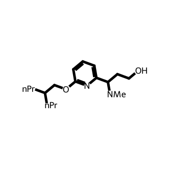 CCCC(CCC)COc1cccc(C(CCO)NC)n1